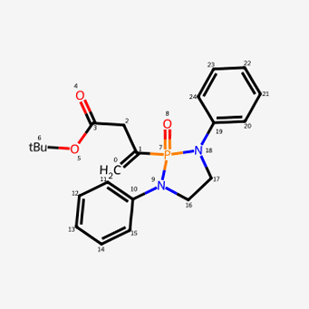 C=C(CC(=O)OC(C)(C)C)P1(=O)N(c2ccccc2)CCN1c1ccccc1